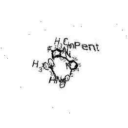 CCCCCC(C)n1nc2c3cc(c(F)cc31)OC(C)CCNC(=O)OCc1cccc-2n1